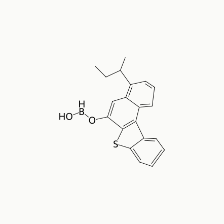 CCC(C)c1cccc2c1cc(OBO)c1sc3ccccc3c12